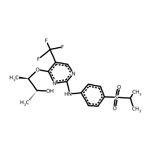 CC(C)S(=O)(=O)c1ccc(Nc2ncc(C(F)(F)F)c(O[C@H](C)[C@@H](C)O)n2)cc1